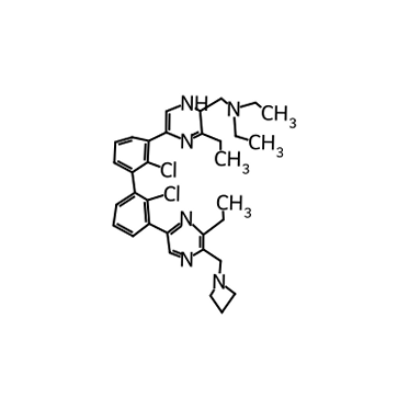 CCC1=NC(c2cccc(-c3cccc(-c4cnc(CN5CCC5)c(CC)n4)c3Cl)c2Cl)=CNC1CN(CC)CC